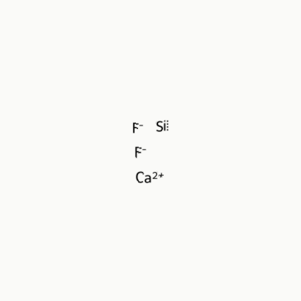 [Ca+2].[F-].[F-].[Si]